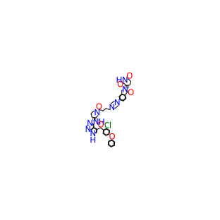 O=C1CC[C@H](N2Cc3cc(N4CCN(CCCC(=O)N5CCC[C@@H](Nc6ncnc7[nH]cc(C(=O)c8ccc(Oc9ccccc9)cc8Cl)c67)C5)CC4)ccc3C2=O)C(=O)N1